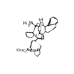 NC(=O)[C@@H]1CCC[N+]1(C(=O)NC1CCc2ccccc2C1O)C(=O)[C@H](CC1CCCC1)CN(O)C=O